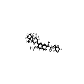 Cc1cc2cnc(NC(=O)[C@@H]3C[C@]34CCOC4)cc2cc1N1CCN([C@]2(C)COC[C@@H]2O)CC1